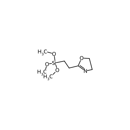 CO[Si](CCC1=NCCO1)(OC)OC